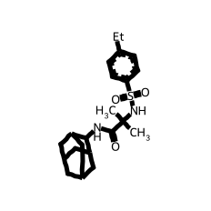 CCc1ccc(S(=O)(=O)NC(C)(C)C(=O)NC2C3CC4CC(C3)CC2C4)cc1